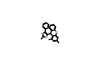 Cc1cc(C)c2c(c1)Oc1ccccc1C2c1oc(C)nc1-c1ccccc1